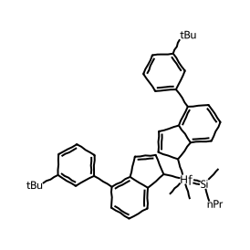 CCC[Si](C)=[Hf]([CH3])([CH3])([CH]1C=Cc2c(-c3cccc(C(C)(C)C)c3)cccc21)[CH]1C=Cc2c(-c3cccc(C(C)(C)C)c3)cccc21